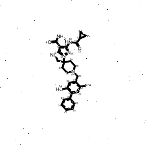 N#CCC1(n2cc(C(N)=O)c(NC(=O)C3CC3)n2)CCN(Cc2cc(O)c(-c3ccccc3)cc2F)CC1